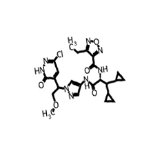 CCc1nonc1C(=O)N[C@H](C(=O)Nc1cnn(C(COC)c2cc(Cl)n[nH]c2=O)c1)C(C1CC1)C1CC1